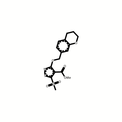 COC(=O)c1c(OCc2ccc3c(c2)OCCC3)nsc1S(C)(=O)=O